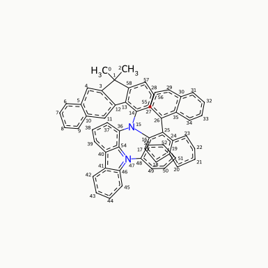 CC1(C)c2cc3ccccc3cc2-c2c(N(c3ccc4ccccc4c3-c3cccc4ccccc34)c3cccc4c5ccccc5n(-c5ccccc5)c34)cccc21